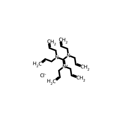 C=CCN(CC=C)C(N(CC=C)CC=C)=[N+](CC=C)CC=C.[Cl-]